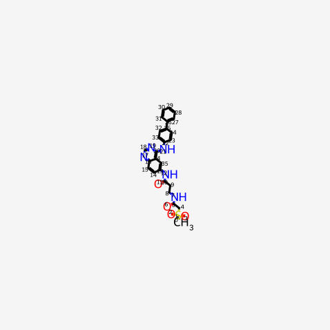 CS(=O)(=O)CC(=O)NCCC(=O)Nc1ccc2ncnc(Nc3ccc(-c4ccccc4)cc3)c2c1